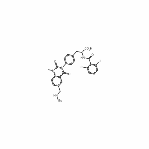 CCC(C)NCc1ccc2c(c1)c(=O)n(-c1ccc(C[C@H](NC(=O)c3c(Cl)cccc3Cl)C(=O)O)cc1)c(=O)n2C